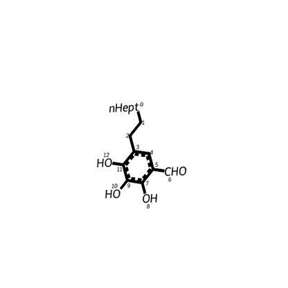 CCCCCCCCCc1cc(C=O)c(O)c(O)c1O